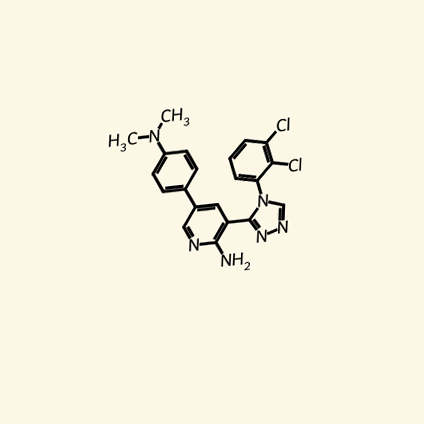 CN(C)c1ccc(-c2cnc(N)c(-c3nncn3-c3cccc(Cl)c3Cl)c2)cc1